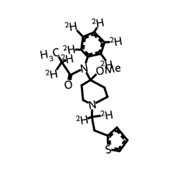 [2H]c1c([2H])c([2H])c(N(C(=O)C([2H])([2H])C)C2(OC)CCN(C([2H])([2H])Cc3cccs3)CC2)c([2H])c1[2H]